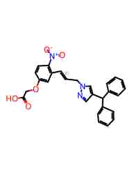 O=C(O)COc1ccc([N+](=O)[O-])c(/C=C/Cn2cc(C(c3ccccc3)c3ccccc3)cn2)c1